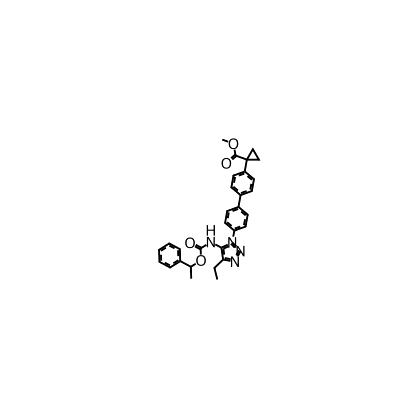 CCc1nnn(-c2ccc(-c3ccc(C4(C(=O)OC)CC4)cc3)cc2)c1NC(=O)OC(C)c1ccccc1